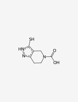 O=C(O)N1CCc2n[nH]c(S)c2C1